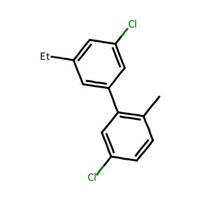 CCc1cc(Cl)cc(-c2cc(Cl)ccc2C)c1